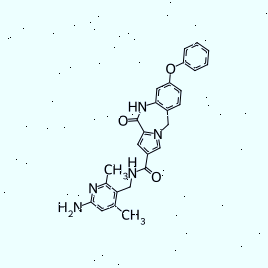 Cc1cc(N)nc(C)c1CNC(=O)c1cc2n(c1)Cc1ccc(Oc3ccccc3)cc1NC2=O